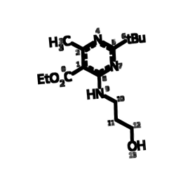 CCOC(=O)c1c(C)nc(C(C)(C)C)nc1NCCCO